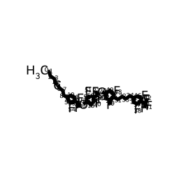 CCCCCCCCCc1ccc(C(F)(F)Oc2cc(F)c(C(F)(F)Oc3cc(F)c(CCCCc4cc(F)c(C(F)(F)F)c(F)c4)c(F)c3)c(F)c2)c(F)c1